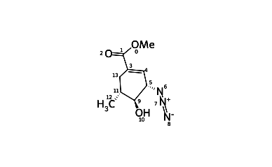 COC(=O)C1=C[C@H](N=[N+]=[N-])[C@@H](O)[C@H](C)C1